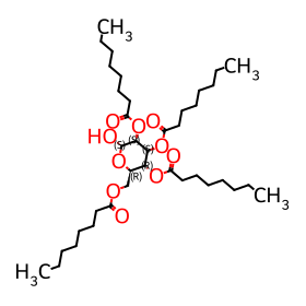 CCCCCCCC(=O)OC[C@H]1O[C@H](O)[C@@H](OC(=O)CCCCCCC)[C@@H](OC(=O)CCCCCCC)[C@@H]1OC(=O)CCCCCCC